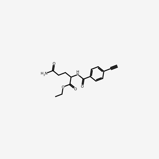 C#Cc1ccc(C(=O)NC(CCC(N)=O)C(=O)OCC)cc1